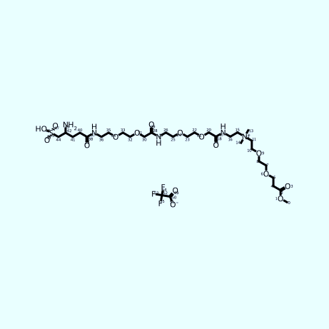 COC(=O)CCOCCOCC[N+](C)(C)CCNC(=O)COCCOCCNC(=O)COCCOCCNC(=O)CCC(N)CS(=O)(=O)O.O=C([O-])C(F)(F)F